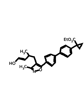 CCOC(=O)C1(c2ccc(-c3ccc(-c4onc(C)c4CC(C)C=CO)cc3)cc2)CC1